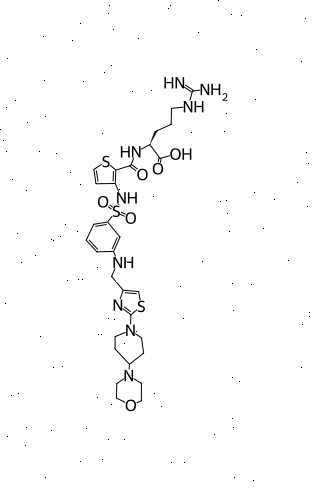 N=C(N)NCCC[C@H](NC(=O)c1sccc1NS(=O)(=O)c1cccc(NCc2csc(N3CCC(N4CCOCC4)CC3)n2)c1)C(=O)O